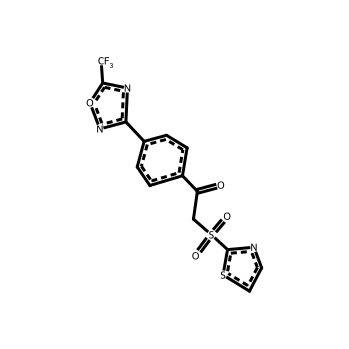 O=C(CS(=O)(=O)c1nccs1)c1ccc(-c2noc(C(F)(F)F)n2)cc1